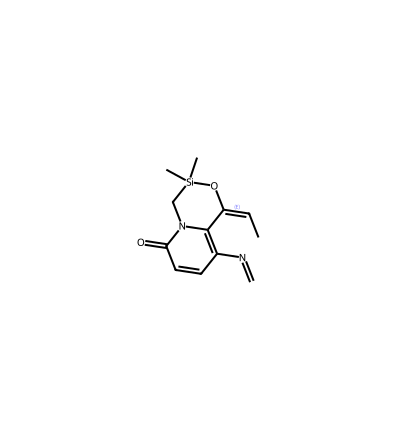 C=Nc1ccc(=O)n2c1/C(=C\C)O[Si](C)(C)C2